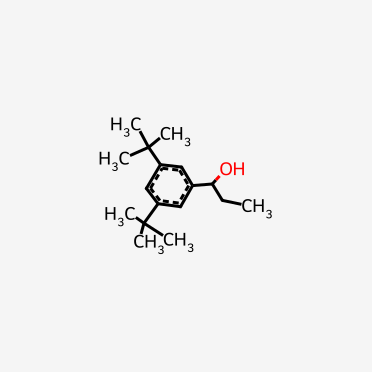 CCC(O)c1cc(C(C)(C)C)cc(C(C)(C)C)c1